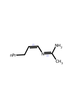 CCCC/C=C\N=C(\C)N